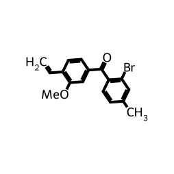 C=Cc1ccc(C(=O)c2ccc(C)cc2Br)cc1OC